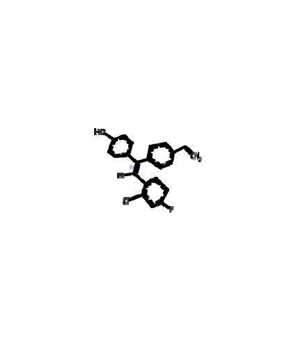 C=Cc1ccc(/C(=C(/CC)c2ccc(F)cc2Cl)c2ccc(O)cc2)cc1